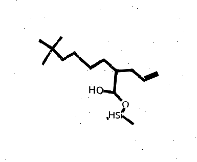 C=CCC(CCCCC(C)(C)C)C(O)O[SiH](C)C